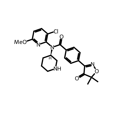 COc1ccc(Cl)c(N(C(=O)c2ccc(C3=NOC(C)(C)C3=O)cc2)[C@@H]2CCCNC2)n1